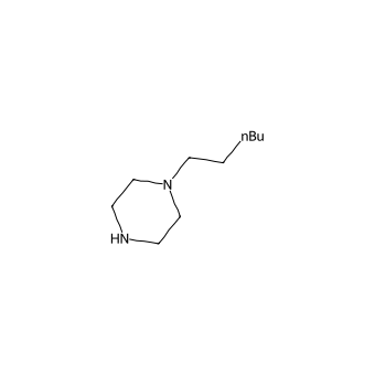 [CH2]CCCCCN1CCNCC1